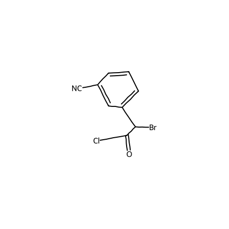 N#Cc1cccc(C(Br)C(=O)Cl)c1